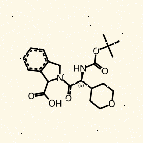 CC(C)(C)OC(=O)N[C@H](C(=O)N1Cc2ccccc2C1C(=O)O)C1CCOCC1